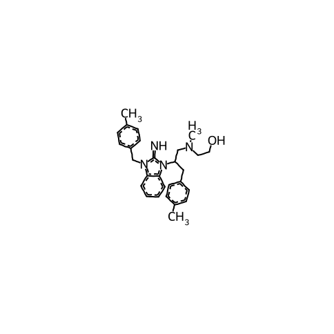 Cc1ccc(CC(CN(C)CCO)n2c(=N)n(Cc3ccc(C)cc3)c3ccccc32)cc1